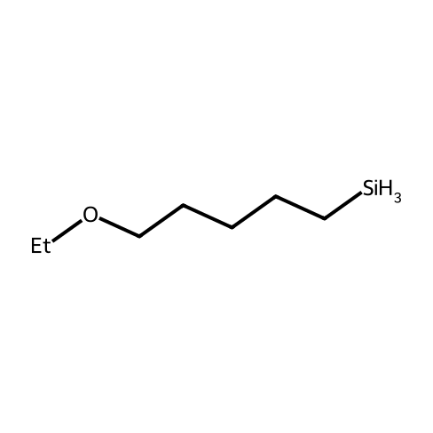 CCOCCCCC[SiH3]